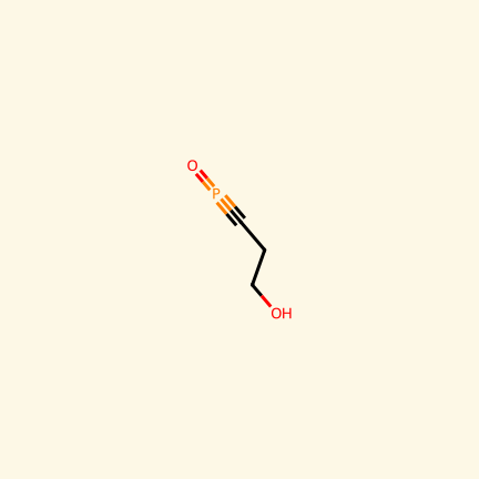 O=P#CCCO